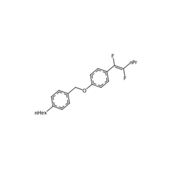 CCCCCCc1ccc(COc2ccc(/C(F)=C(\F)CCC)cc2)cc1